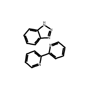 c1ccc(-c2ccccn2)nc1.c1ccc2[nH]nnc2c1